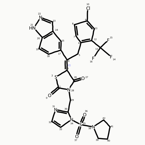 O=C1S/C(=C(/Cc2ccc(Cl)cc2C(F)(F)F)c2ccc3[nH]ncc3c2)C(=O)N1Cc1nccn1S(=O)(=O)N1CCCC1